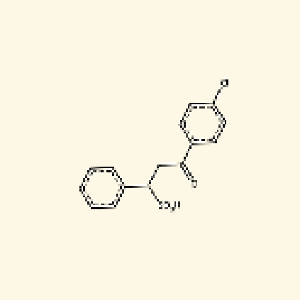 O=C(CC(c1ccccc1)S(=O)(=O)O)c1ccc(Cl)cc1